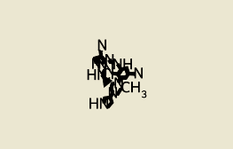 C[C@H]1CN(C2CCNC2)CCN1c1cc(C#N)cc(Nc2nc(NC3CC3)n3ncc(C#N)c3n2)c1Cl